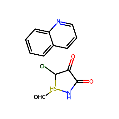 O=C[SH]1NC(=O)C(=O)C1Cl.c1ccc2ncccc2c1